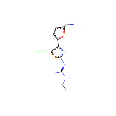 CCC(C)CN/C(N)=N/c1nc(-c2ccc(CN)o2)cs1.Cl.Cl